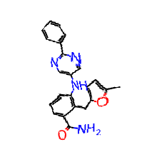 Cc1ccc(Cc2c(Nc3cnc(-c4ccccc4)nc3)cccc2C(N)=O)o1